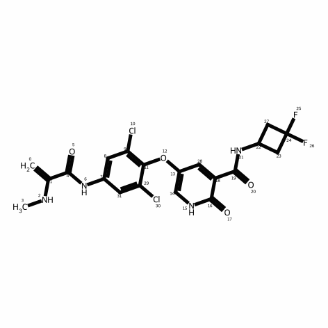 C=C(NC)C(=O)Nc1cc(Cl)c(Oc2c[nH]c(=O)c(C(=O)NC3CC(F)(F)C3)c2)c(Cl)c1